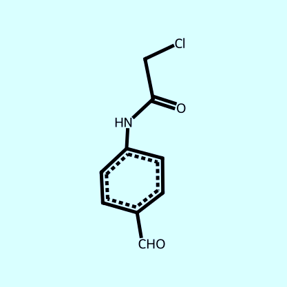 O=Cc1ccc(NC(=O)CCl)cc1